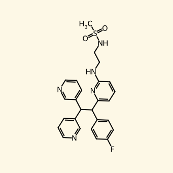 CS(=O)(=O)NCCNc1cccc(C(c2ccc(F)cc2)C(c2cccnc2)c2cccnc2)n1